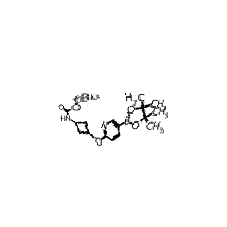 CC(C)(C)OC(=O)NC1CC(Oc2ccc(B3OC(C)(C)C(C)(C)O3)cn2)C1